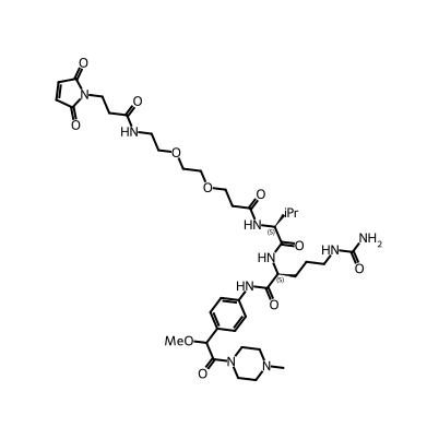 COC(C(=O)N1CCN(C)CC1)c1ccc(NC(=O)[C@H](CCCNC(N)=O)NC(=O)[C@@H](NC(=O)CCOCCOCCNC(=O)CCN2C(=O)C=CC2=O)C(C)C)cc1